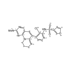 CNc1ncc2c(n1)N1CCCN=C1C(c1ccnc(NS(=O)(=O)c3ccoc3)c1Cl)=C2